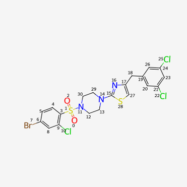 O=S(=O)(c1ccc(Br)cc1Cl)N1CCN(c2nc(Cc3cc(Cl)cc(Cl)c3)cs2)CC1